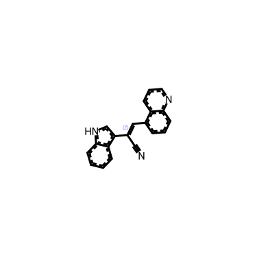 N#C/C(=C\c1cccc2ncccc12)c1c[nH]c2ccccc12